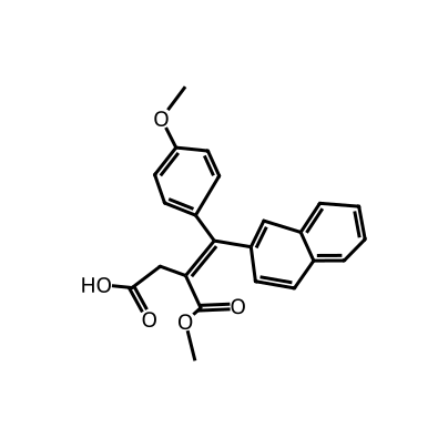 COC(=O)C(CC(=O)O)=C(c1ccc(OC)cc1)c1ccc2ccccc2c1